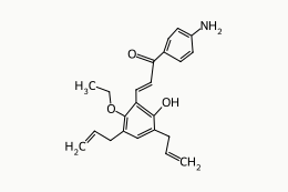 C=CCc1cc(CC=C)c(OCC)c(C=CC(=O)c2ccc(N)cc2)c1O